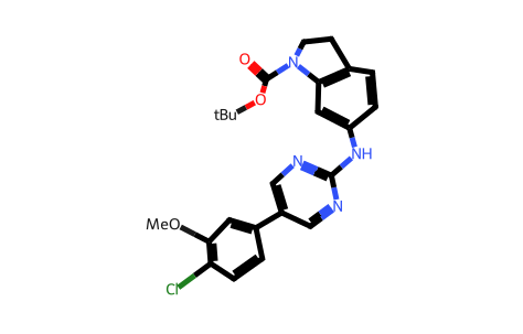 COc1cc(-c2cnc(Nc3ccc4c(c3)N(C(=O)OC(C)(C)C)CC4)nc2)ccc1Cl